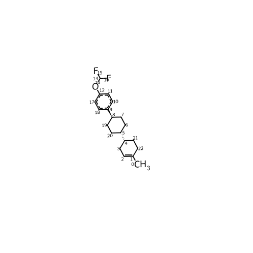 CC1=CCC([C@H]2CC[C@H](c3ccc(OC(F)F)cc3)CC2)CC1